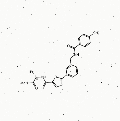 CNC(=O)[C@@H](NC(=O)c1ccc(-c2cccc(CNC(=O)c3ccc(C)cc3)c2)o1)C(C)C